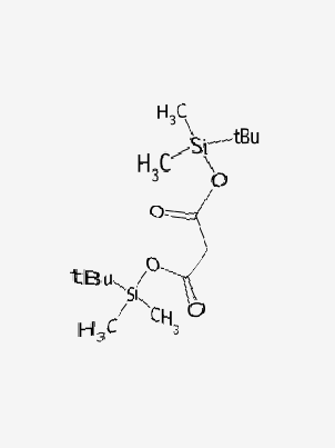 CC(C)(C)[Si](C)(C)OC(=O)CC(=O)O[Si](C)(C)C(C)(C)C